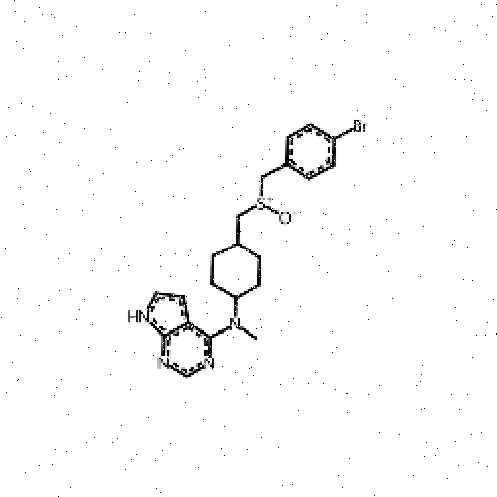 CN(c1ncnc2[nH]ccc12)C1CCC(C[S+]([O-])Cc2ccc(Br)cc2)CC1